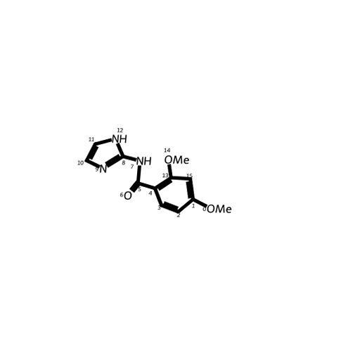 COc1ccc(C(=O)Nc2ncc[nH]2)c(OC)c1